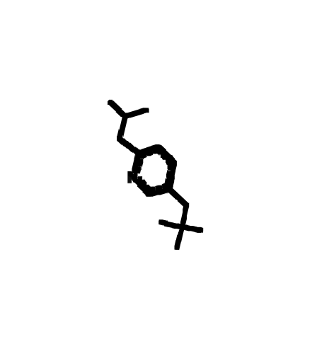 CC(C)Cc1ccc(CC(C)(C)C)cn1